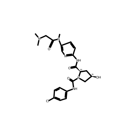 CN(C)CC(=O)N(C)c1ccc(NC(=O)[C@H]2C[C@@H](O)CN2C(=O)Nc2ccc(Cl)cc2)nc1